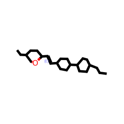 CCCC1CCC(C2CCC(/C=C/C3CCC(CC)CO3)CC2)CC1